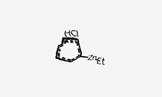 C[CH2][Zn][c]1ccccc1.Cl